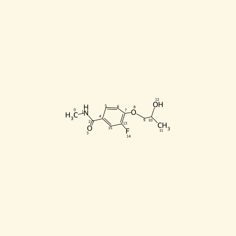 CNC(=O)c1ccc(OCC(C)O)c(F)c1